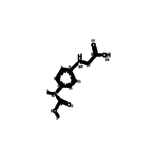 COC(=O)N(C)c1ccc(NCC(=O)O)cc1